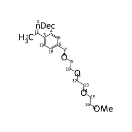 CCCCCCCCCCC(C)c1ccc(COCCOCCOCCOC)cc1